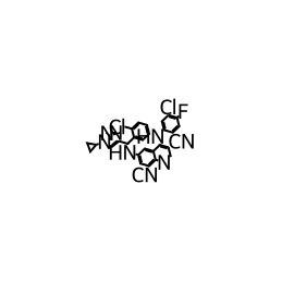 N#Cc1cnc2c(C#N)cc(NC(c3cn(C4CC4)nn3)c3ccccc3Cl)cc2c1Nc1ccc(F)c(Cl)c1